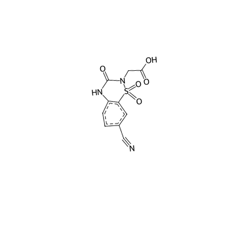 N#Cc1ccc2c(c1)S(=O)(=O)N(CC(=O)O)C(=O)N2